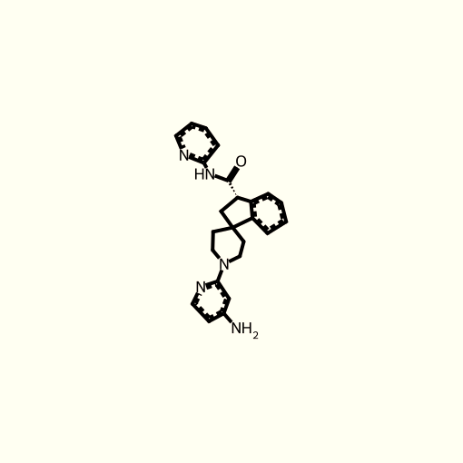 Nc1ccnc(N2CCC3(CC2)C[C@H](C(=O)Nc2ccccn2)c2ccccc23)c1